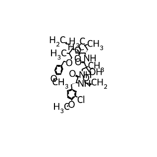 C=CC[C@H](OC(=O)[C@H](CC(C)(C)C)NC(=O)C(C)(CO)CNC(=O)[C@@H](Cc1ccc(OC)c(Cl)c1)NC(=O)C=C)C(C)COCc1ccc(OC)cc1